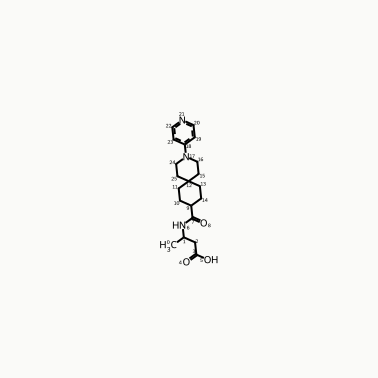 CC(CC(=O)O)NC(=O)C1CCC2(CC1)CCN(c1ccncc1)CC2